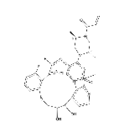 C=CC(=O)N1C[C@H](C)N(c2nc(=O)n3c4nc(c(F)cc24)-c2c(F)cccc2OCC(O)C(O)c2ccnc(C(C)C)c2-3)C[C@H]1C